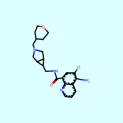 Nc1c(Cl)cc(C(=O)NCC2C3CN(CC4CCOCC4)CC23)c2ncccc12